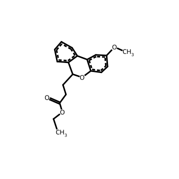 CCOC(=O)CCC1Oc2ccc(OC)cc2-c2ccccc21